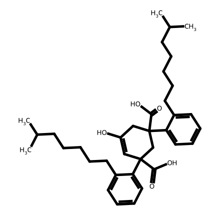 CC(C)CCCCCc1ccccc1C1(C(=O)O)C=C(O)CC(C(=O)O)(c2ccccc2CCCCCC(C)C)C1